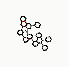 c1ccc(-c2cc(-c3ccccc3)cc(N(c3ccc(-c4cccc5c(-c6ccccc6)c(-c6ccccc6)c6ccccc6c45)cc3)c3c(-c4ccccc4)cccc3-c3ccccc3)c2)cc1